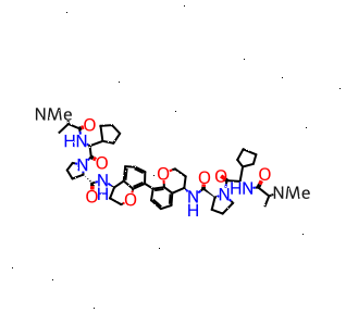 CNC(C)C(=O)NC(C(=O)N1CCC[C@H]1C(=O)N[C@@H]1CCOc2c(-c3cccc4c3OCC[C@H]4NC(=O)[C@@H]3CCCN3C(=O)C(NC(=O)C(C)NC)C3CCCC3)cccc21)C1CCCC1